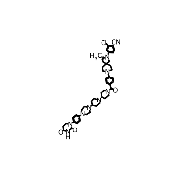 C[C@@H]1CC2(CCN(c3ccc(C(=O)N4CCC(N5CCC(N6CCN(c7ccc(N8CCC(=O)NC8=O)cc7)CC6)CC5)CC4)cc3)CC2)CN1c1ccc(C#N)c(Cl)c1